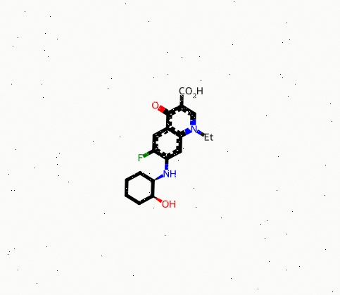 CCn1cc(C(=O)O)c(=O)c2cc(F)c(N[C@@H]3CCCC[C@@H]3O)cc21